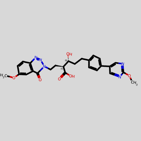 COc1ccc2nnn(CC[C@H](C(=O)O)[C@H](O)CCc3ccc(-c4cnc(OC)nc4)cc3)c(=O)c2c1